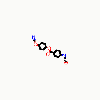 N#COc1ccc(OC(=O)c2ccc(N=C=O)cc2)cc1